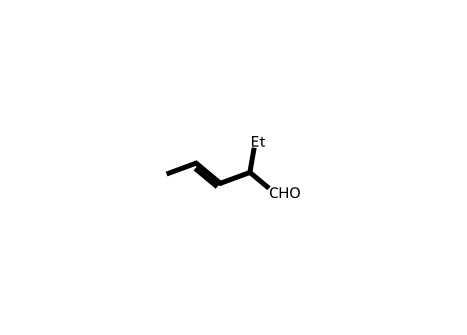 CC=CC(C=O)CC